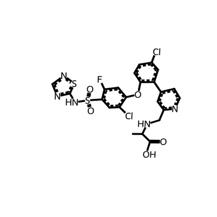 CC(NCc1cc(-c2cc(Cl)ccc2Oc2cc(F)c(S(=O)(=O)Nc3ncns3)cc2Cl)ccn1)C(=O)O